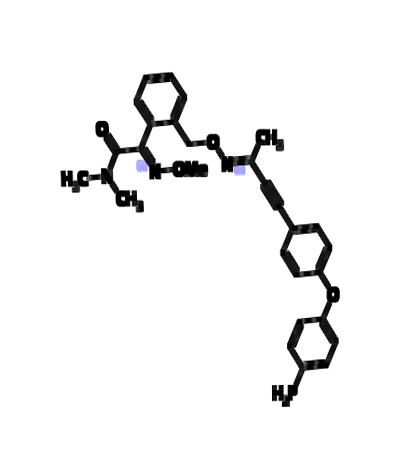 CO/N=C(/C(=O)N(C)C)c1ccccc1CO/N=C(\C)C#Cc1ccc(Oc2ccc(P)cc2)cc1